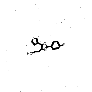 OCCc1nc(-c2ccc(F)cc2)oc1-c1ccsc1